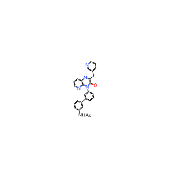 CC(=O)Nc1cccc(-c2cccc(-n3c(=O)c(Cc4cccnc4)nc4cccnc43)c2)c1